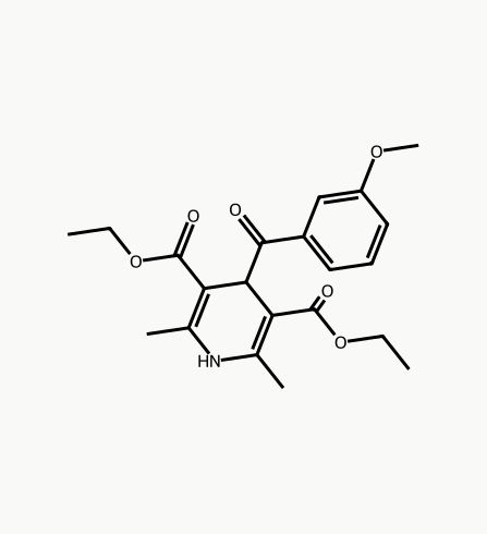 CCOC(=O)C1=C(C)NC(C)=C(C(=O)OCC)C1C(=O)c1cccc(OC)c1